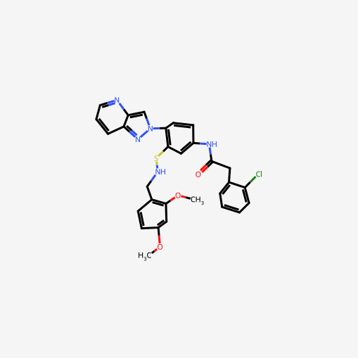 COc1ccc(CNSc2cc(NC(=O)Cc3ccccc3Cl)ccc2-n2cc3ncccc3n2)c(OC)c1